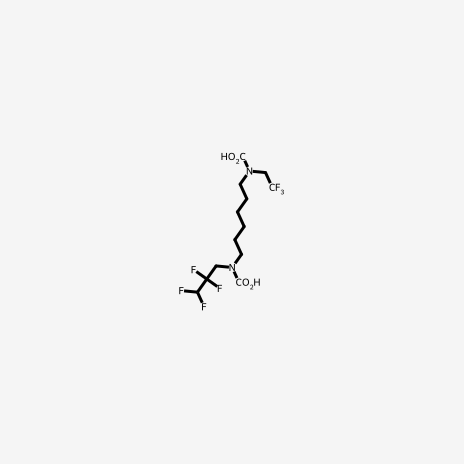 O=C(O)N(CCCCCCN(CC(F)(F)C(F)F)C(=O)O)CC(F)(F)F